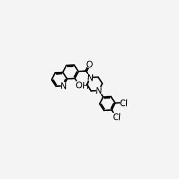 O=C(c1ccc2cccnc2c1O)N1CCN(c2ccc(Cl)c(Cl)c2)CC1